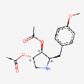 COc1ccc(C[C@H]2NC[C@H](OC(C)=O)[C@H]2OC(C)=O)cc1